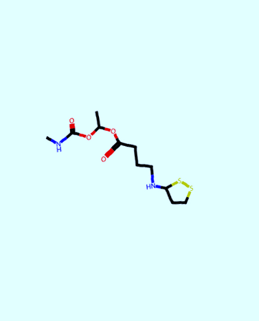 CNC(=O)OC(C)OC(=O)CCCNC1CCSS1